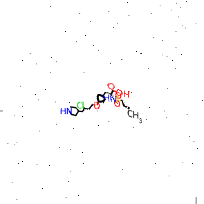 CCCCS(=O)(=O)N[C@@H](Cc1ccc(OCCC(Cl)CC2CCNCC2)cc1)C(=O)O